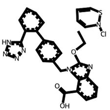 CCOc1nc2cccc(C(=O)O)c2n1Cc1ccc(-c2ccccc2-c2nnn[nH]2)cc1.ClN1C=CC=CS1